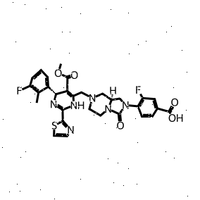 COC(=O)C1=C(CN2CCN3C(=O)N(c4ccc(C(=O)O)cc4F)C[C@@H]3C2)NC(c2nccs2)=N[C@H]1c1cccc(F)c1C